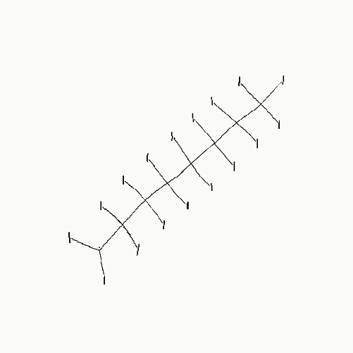 I[C](I)C(I)(I)C(I)(I)C(I)(I)C(I)(I)C(I)(I)C(I)(I)C(I)(I)I